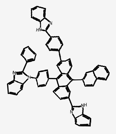 c1ccc(-c2nc3ccccc3n2-c2ccc(-c3c4ccc(-c5nc6ccccc6[nH]5)cc4c(-c4ccc5ccccc5c4)c4ccc(-c5ccc(-c6nc7ccccc7[nH]6)cc5)cc34)cc2)cc1